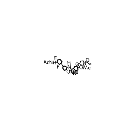 C=CC(=O)N1CCC(Oc2cc3c(Nc4cc(-c5ccc(F)c(NC(C)=O)c5F)ccc4OC)ncnc3cc2OC)CC1